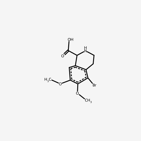 COc1cc2c(c(Br)c1OC)CCNC2C(=O)O